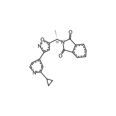 C[C@@H](c1cc(-c2ccnc(C3CC3)c2)no1)N1C(=O)c2ccccc2C1=O